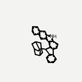 c1ccc2c(c1)-c1ccc3[nH]c4cc5ccccc5cc4c3c1C2C12CC3CC(CC(C3)C1)C2